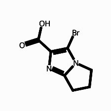 O=C(O)c1nc2n(c1Br)CCC2